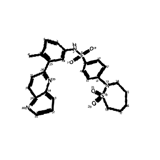 Cc1ccc(NS(=O)(=O)c2ccc(N3CCCCCS3(=O)=O)cc2)cc1-c1ccc2ncccc2n1